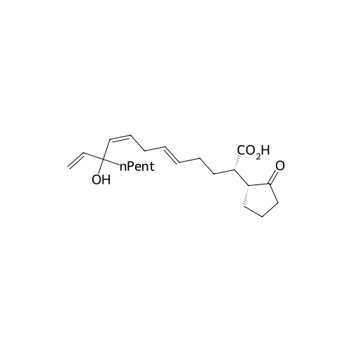 C=CC(O)(/C=C\C/C=C/CC[C@H](C(=O)O)[C@H]1CCCC1=O)CCCCC